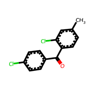 Cc1ccc(C(=O)c2ccc(Cl)cc2)c(Cl)c1